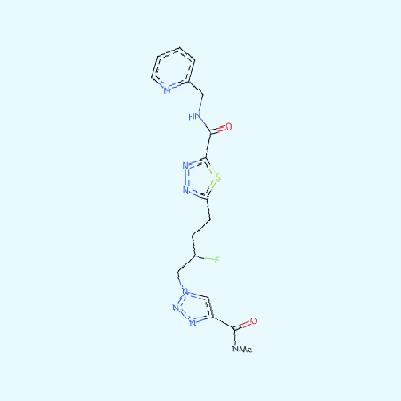 CNC(=O)c1cn(CC(F)CCc2nnc(C(=O)NCc3ccccn3)s2)nn1